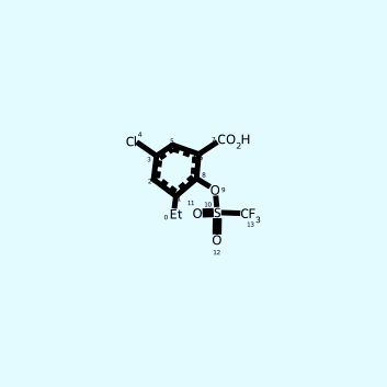 CCc1cc(Cl)cc(C(=O)O)c1OS(=O)(=O)C(F)(F)F